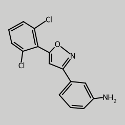 Nc1cccc(-c2cc(-c3c(Cl)cccc3Cl)on2)c1